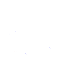 O=C(Nc1ccc(N2CCOCC2)cc1)Oc1cnn(-c2ccccc2)c1C(F)(F)F